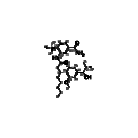 CCCCCC(CC(=O)Nc1cc(C(N)=O)ccc1C(C)(C)C)c1ccc(C(O)C(C)C)cc1OC